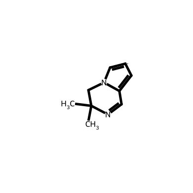 CC1(C)Cn2c[c]cc2C=N1